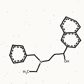 CCN(CCC(O)c1ccc2ccccc2c1)Cc1ccccc1